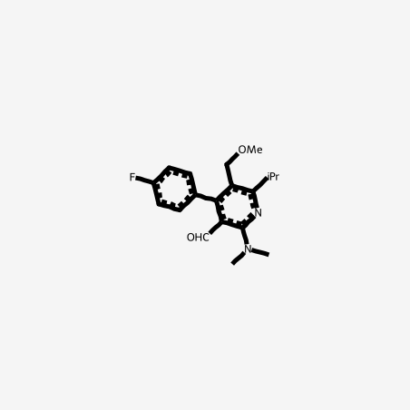 COCc1c(C(C)C)nc(N(C)C)c(C=O)c1-c1ccc(F)cc1